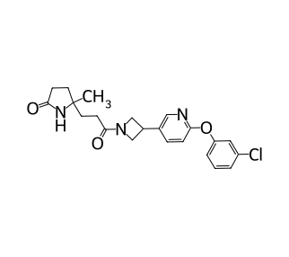 CC1(CCC(=O)N2CC(c3ccc(Oc4cccc(Cl)c4)nc3)C2)CCC(=O)N1